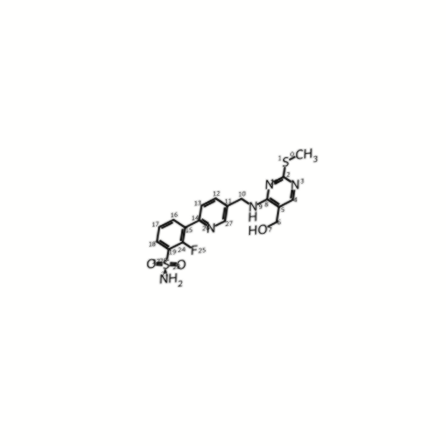 CSc1ncc(CO)c(NCc2ccc(-c3cccc(S(N)(=O)=O)c3F)nc2)n1